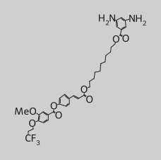 COc1cc(C(=O)Oc2ccc(C=CC(=O)OCCCCCCCCCCCOC(=O)c3cc(N)cc(N)c3)cc2)ccc1OCCC(F)(F)F